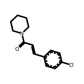 O=C(/C=C/c1ccc(Cl)cc1)N1CCCCC1